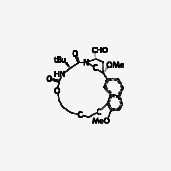 COc1ccc2ccc3cc2c1CCCCCCOC(=O)N[C@@H](C(C)(C)C)C(=O)N1C[C@@]3(OC)C[C@H]1C=O